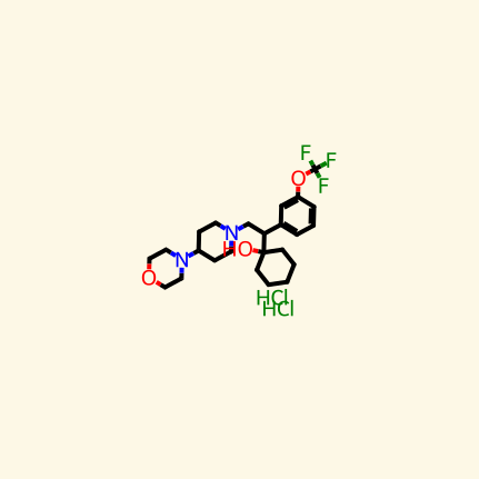 Cl.Cl.OC1(C(CN2CCC(N3CCOCC3)CC2)c2cccc(OC(F)(F)F)c2)CCCCC1